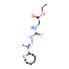 CCOC(=O)CNC(=O)N/N=C(\C)c1ccccn1